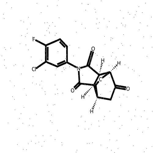 O=C1C[C@@H]2CC[C@H]1[C@@H]1C(=O)N(c3ccc(F)c(Cl)c3)C(=O)[C@H]21